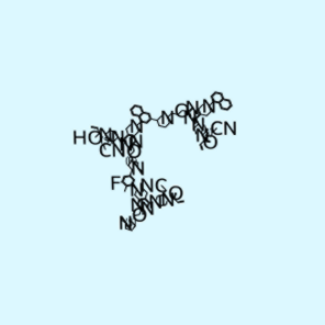 C=CC(=O)N1CCN(c2nc(OC[C@@H]3CCCN3C)nc3c2CCN(c2cc(C4C[C@@H](COc5nc6c(c(N7CCN(C(O)C=C)[C@@H](CC#N)C7)n5)CCN(c5cc(C7CCCN(CCOc8nc9c(c(N%10CCN(C(=O)C=C)[C@@H](CC#N)C%10)n8)CCN(c8cccc%10ccccc8%10)C9)C7)cc7ccccc57)C6)CN4C)cc(F)c2C)C3)CC1CC#N